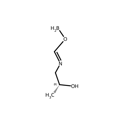 BOC=NC[C@@H](C)O